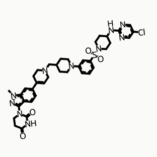 Cn1nc(N2CCC(=O)NC2=O)c2ccc(C3=CCN(CC4CCN(c5cccc(S(=O)(=O)N6CCC(Nc7ncc(Cl)cn7)CC6)c5)CC4)CC3)cc21